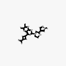 Cc1nc2nc(N3CCOC(c4cnn(C)c4)C3)nc(C3CC(C(F)F)C3)c2nc1C